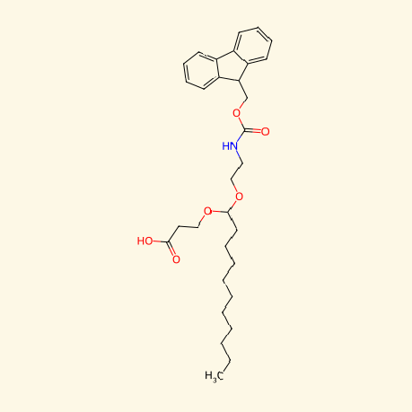 CCCCCCCCCCC(OCCNC(=O)OCC1c2ccccc2-c2ccccc21)OCCC(=O)O